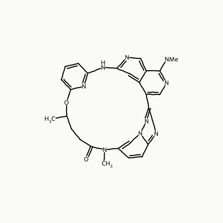 CNc1ncc2c3cc(ncc13)Nc1cccc(n1)OC(C)CCC(=O)N(C)c1ccc3nc-2nn3c1